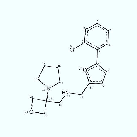 Clc1ccccc1-c1ccc(CNCC2(N3CCCC3)COC2)o1